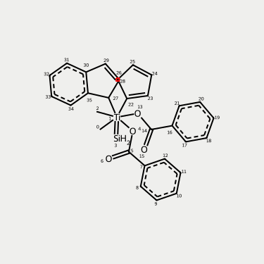 [CH3][Ti]([CH3])(=[SiH2])([O]C(=O)c1ccccc1)([O]C(=O)c1ccccc1)([C]1=CC=CC1)[CH]1C=Cc2ccccc21